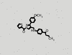 CCCC(=O)c1ccc(NCc2cn(C(=O)c3cccs3)nc2-c2ccc(OC)cc2)cc1